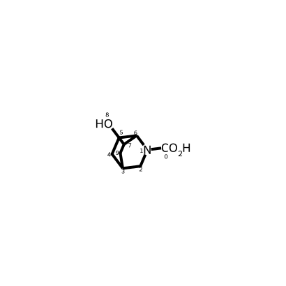 O=C(O)N1CC2CCC1C(O)C2